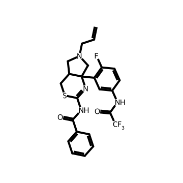 C=CCN1CC2CSC(NC(=O)c3ccccc3)=NC2(c2cc(NC(=O)C(F)(F)F)ccc2F)C1